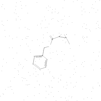 CC1OC1C(=O)OCc1ccccc1